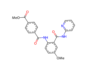 COC(=O)c1ccc(C(=O)Nc2ccc(OC)cc2C(=O)Nc2ccccn2)cc1